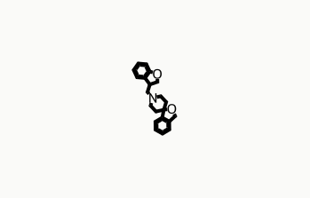 c1ccc2c(c1)COC21CCN(CC2COc3ccccc32)CC1